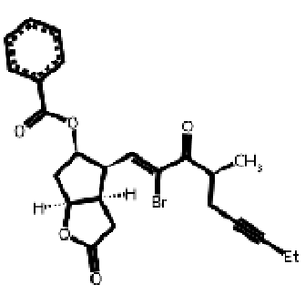 CCC#CC[C@H](C)C(=O)C(Br)=C[C@H]1[C@H]2CC(=O)O[C@H]2C[C@H]1OC(=O)c1ccccc1